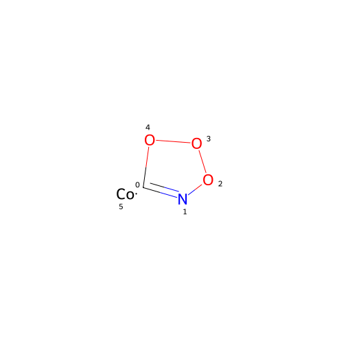 C1=NOOO1.[Co]